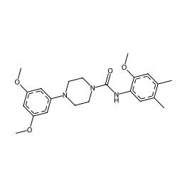 COc1cc(OC)cc(N2CCN(C(=O)Nc3cc(C)c(C)cc3OC)CC2)c1